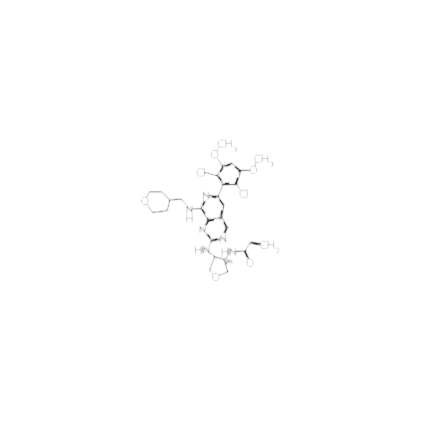 C=CC(=O)N[C@H]1COCC1Nc1ncc2cc(-c3c(Cl)c(OC)cc(OC)c3Cl)nc(NCC3CCOCC3)c2n1